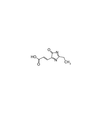 CCC1=NC(=O)C(C=CC(=O)O)=N1